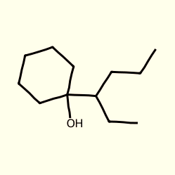 CCCC(CC)C1(O)CCCCC1